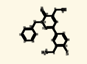 NCc1cc(-c2cc(CO)c(=O)n(Cc3ccccc3)n2)ccc1F